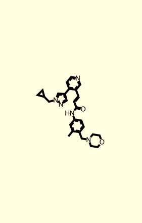 Cc1cc(NC(=O)/C=C/c2cnccc2-c2cnn(CC3CC3)c2)ccc1CN1CCOCC1